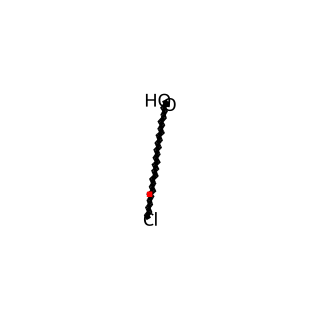 O=C(O)CCCCCCCCCCCCCCCCCCCCCCCCCCCCCCCCl